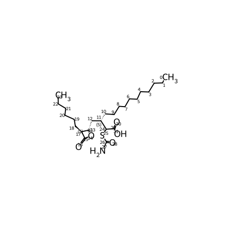 CCCCCCCCCCC[C@@H](C[C@@H]1OC(=O)[C@H]1CCCCCC)C(SC(N)=O)C(=O)O